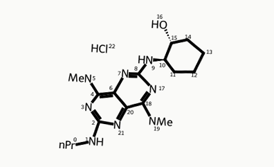 CCCNc1nc(NC)c2nc(N[C@@H]3CCCC[C@H]3O)nc(NC)c2n1.Cl